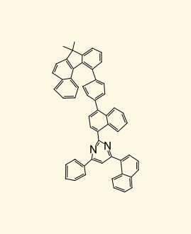 CC1(C)c2cccc(-c3ccc(-c4ccc(-c5nc(-c6ccccc6)cc(-c6cccc7ccccc67)n5)c5ccccc45)cc3)c2-c2c1ccc1ccccc21